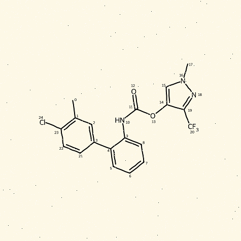 Cc1cc(-c2ccccc2NC(=O)Oc2cn(C)nc2C(F)(F)F)ccc1Cl